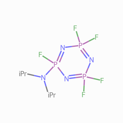 CC(C)N(C(C)C)P1(F)=NP(F)(F)=NP(F)(F)=N1